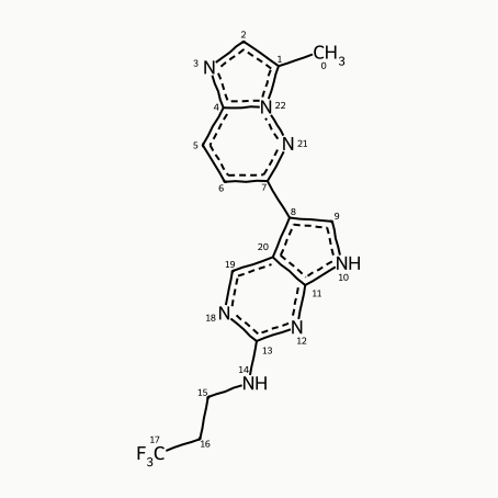 Cc1cnc2ccc(-c3c[nH]c4nc(NCCC(F)(F)F)ncc34)nn12